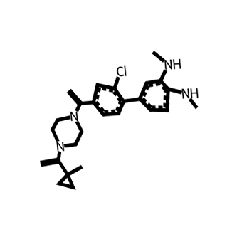 C=C(c1ccc(-c2ccc(NC)c(NC)c2)c(Cl)c1)N1CCN(C(=C)C2(C)CC2)CC1